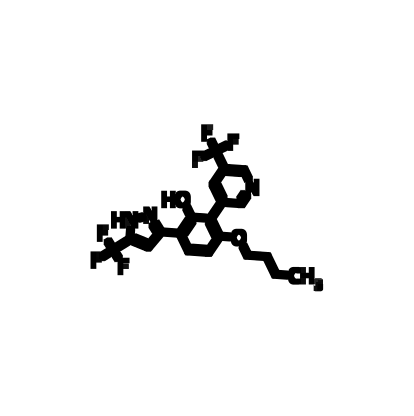 CCCCOc1ccc(-c2cc(C(F)(F)F)[nH]n2)c(O)c1-c1cncc(C(F)(F)F)c1